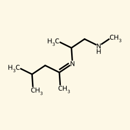 CNCC(C)N=C(C)CC(C)C